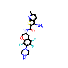 Cc1ccc2c(N)c(C(=O)N[C@H]3COc4c(F)c(N5CCNCC5)c(F)c(F)c4C3)sc2n1